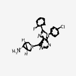 N[C@@H]1[C@H]2CN(c3ncnc4c3nc(-c3ccccc3F)n4-c3ccc(Cl)cc3)C[C@@H]12